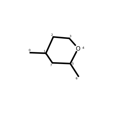 C[C]1CCOC(C)C1